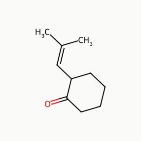 CC(C)=CC1CCCCC1=O